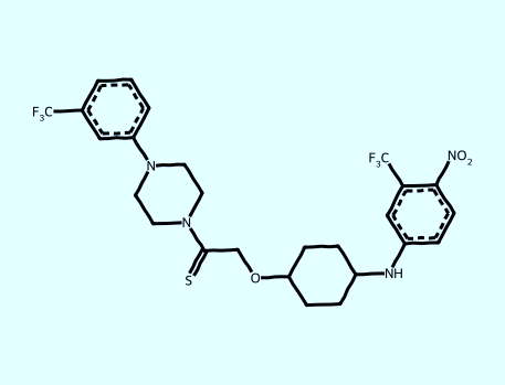 O=[N+]([O-])c1ccc(NC2CCC(OCC(=S)N3CCN(c4cccc(C(F)(F)F)c4)CC3)CC2)cc1C(F)(F)F